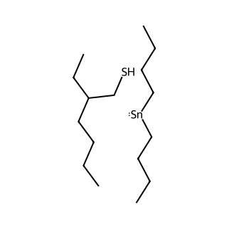 CCCCC(CC)CS.CCC[CH2][Sn][CH2]CCC